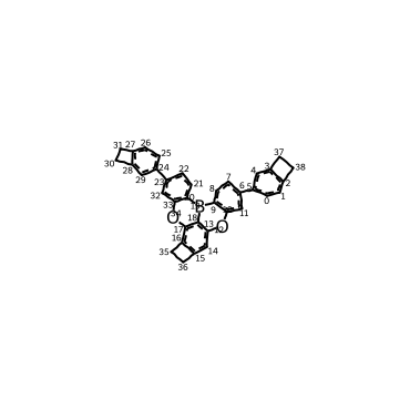 c1cc2c(cc1-c1ccc3c(c1)Oc1cc4c(c5c1B3c1ccc(-c3ccc6c(c3)CC6)cc1O5)CC4)CC2